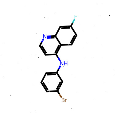 Fc1ccc2c(Nc3cccc(Br)c3)ccnc2c1